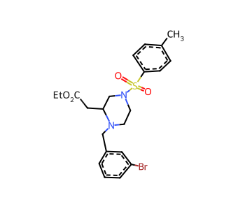 CCOC(=O)CC1CN(S(=O)(=O)c2ccc(C)cc2)CCN1Cc1cccc(Br)c1